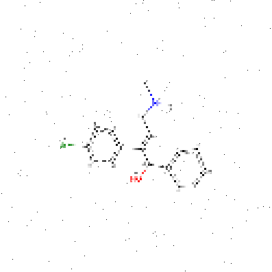 CN(C)C/C=C(\c1ccc(Br)cc1)C(O)c1ccccc1